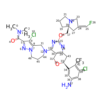 CN(C)C(=O)c1nn2c(c1Cl)CN(c1nc(OC[C@@]34CCCN3C/C(=C\F)C4)nc3c1CO[C@H](c1cc(N)cc(Cl)c1C(F)(F)F)C3)CCC2